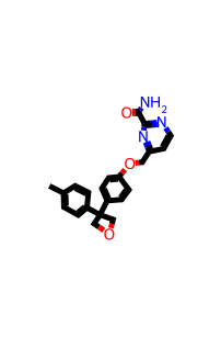 Cc1ccc(C2(c3ccc(OCc4ccnc(C(N)=O)n4)cc3)COC2)cc1